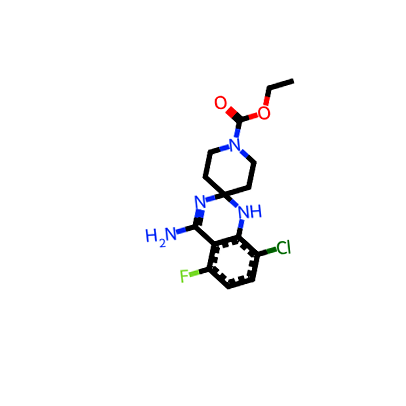 CCOC(=O)N1CCC2(CC1)N=C(N)c1c(F)ccc(Cl)c1N2